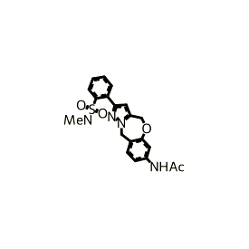 CNS(=O)(=O)c1ccccc1-c1cc2n(n1)Cc1ccc(NC(C)=O)cc1OC2